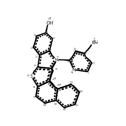 CC(C)(C)c1ccnc(-n2c3cc(O)ccc3c3sc4ccc5ccccc5c4c32)c1